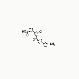 NCc1cccc(C2CCN(C(=O)c3cc(Cl)cc(-c4cccc(B(O)O)c4)c3)CC2)c1